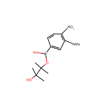 CNc1cc(B(O)OC(C)(C)C(C)(C)O)ccc1[N+](=O)[O-]